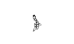 CC1O[C@@]12C(=O)OCc1c2cc2n(c1=O)Cc1cc3ccccc3nc1-2